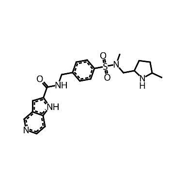 CC1CCC(CN(C)S(=O)(=O)c2ccc(CNC(=O)c3cc4cnccc4[nH]3)cc2)N1